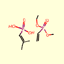 C=CP(=O)(OC)OC.CC(C)=CP(=O)(O)O